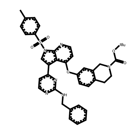 Cc1ccc(S(=O)(=O)n2cc(-c3ccnc(NCc4ccccc4)n3)c3c(Oc4ccc5c(c4)CN(C(=O)OC(C)(C)C)CC5)ccnc32)cc1